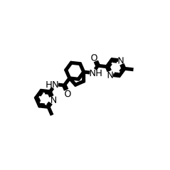 Cc1cnc(C(=O)NC23CCCC(C(=O)Nc4cccc(C)n4)(CC2)C3)cn1